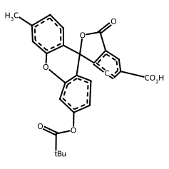 Cc1ccc2c(c1)Oc1cc(OC(=O)C(C)(C)C)ccc1C21OC(=O)c2cc(C(=O)O)ccc21